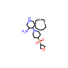 NC1CNCC2(CCCCCCCC2)C1N1CCC(S(=O)(=O)C2COC2)CC1